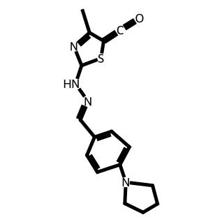 CC1=NC(NN=Cc2ccc(N3CCCC3)cc2)SC1=C=O